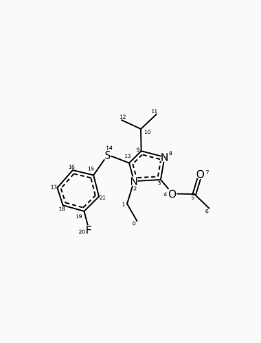 CCn1c(OC(C)=O)nc(C(C)C)c1Sc1cccc(F)c1